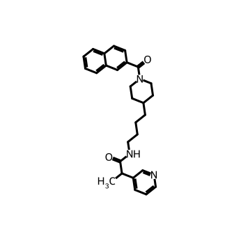 CC(C(=O)NCCCCC1CCN(C(=O)c2ccc3ccccc3c2)CC1)c1cccnc1